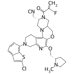 C=C(F)C(=O)N1CC2COc3c(OC[C@@H]4CCCN4C)nc4c(c3N2C[C@@H]1CC#N)CCN(c1cccc2cc(Cl)sc12)C4